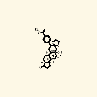 C=C(OCC)c1ccc(C2C[C@@H]3[C@H]4CC[C@]5(C)C(=O)CC[C@H]5[C@@H]4C[C@@H](C)[C@@]3(O)CC23OCCO3)cc1